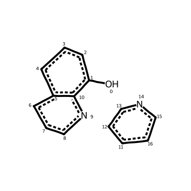 Oc1cccc2cccnc12.c1ccncc1